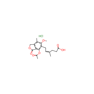 COc1c(C)c2c(c(OC(C)=O)c1CC=C(C)CCC(=O)O)C(=O)OC2.Cl